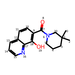 CC1(C)CCCN(C(=O)c2ccc3cccnc3c2O)C1